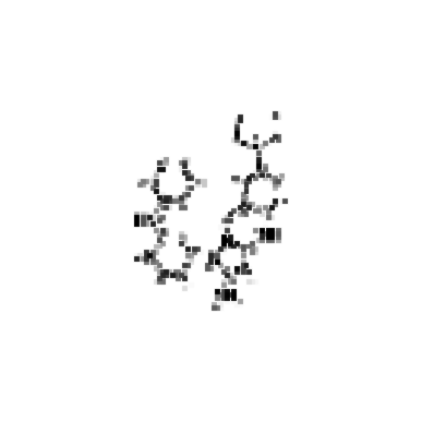 CCN(CC)c1ccc(Nc2nc(N)n(-c3cc(Nc4ccccc4)ncn3)n2)c(C)c1